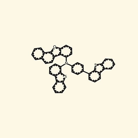 c1ccc2c(c1)ccc1c2oc2cccc(N(c3ccc(-c4cccc5c4sc4ccccc45)cc3)c3cccc4c3sc3ccccc34)c21